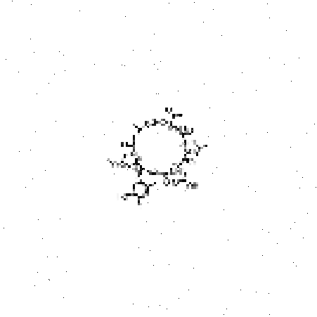 CO[C@@H]1C[C@H]2C(=O)N[C@@H](Cc3ccc(O)c(Cl)c3)C(=O)N[C@@H](CC(=O)O)C(=O)N[C@@H](CC(C)C)C(=O)N[C@H](C(C)=O)CSSC(C)CC(=O)N2C1